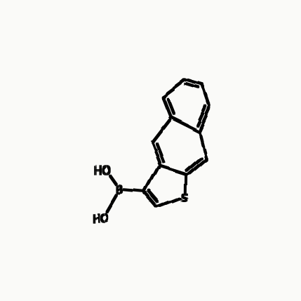 OB(O)c1csc2cc3ccccc3cc12